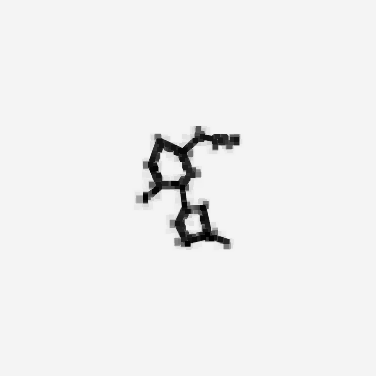 Cn1cc(-c2nc(OC(=O)O)ccc2F)cn1